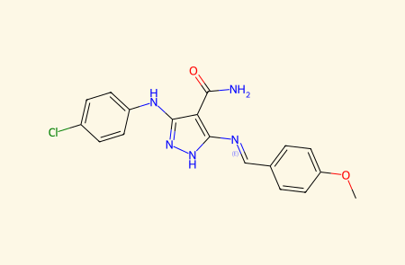 COc1ccc(/C=N/c2[nH]nc(Nc3ccc(Cl)cc3)c2C(N)=O)cc1